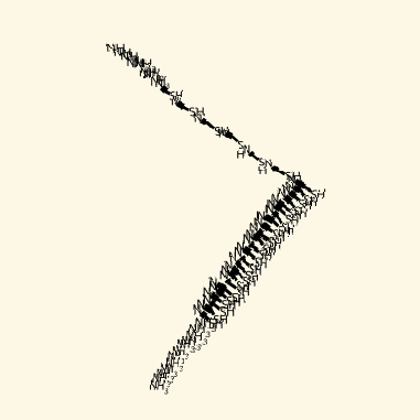 N.N.N.N.N.N.N.N.N.N.N.N.N.N.N.N.N.N.N.N.N#CS.N#CS.N#CS.N#CS.N#CS.N#CS.N#CS.N#CS.N#CS.N#CS.N#CS.N#CS.N#CS.N#CS.N#CS.N#CS.N#CS.N#CS.N#CS.N#CS.N#CS.N#CS.N#CS.N#CS.N#CS.N#CS.N#CS.N#CS.N#CS.N#CS